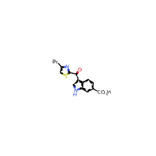 CC(C)c1csc(C(=O)c2c[nH]c3cc(C(=O)O)ccc23)n1